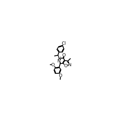 COc1ccc(OC)c(-c2nn(C(C)c3ccc(Cl)cc3)c(=O)c3c(C)noc23)c1